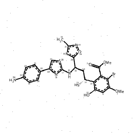 COC(=O)c1c(Br)c(OC)cc(O)c1[C@H](S)CC(Nc1nc(-c2ccc(N)cc2)cs1)c1nc(C)no1